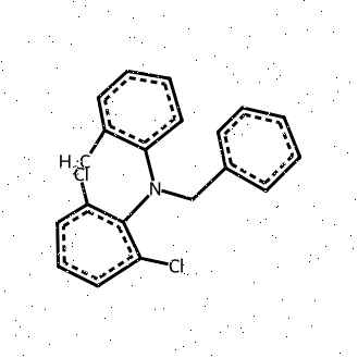 [CH2]c1ccccc1N(Cc1ccccc1)c1c(Cl)cccc1Cl